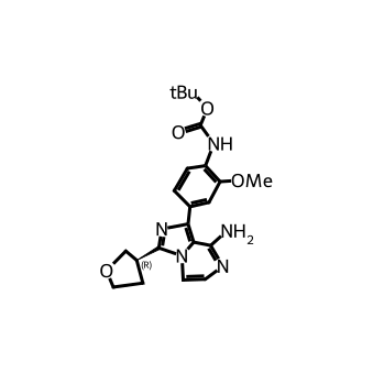 COc1cc(-c2nc([C@H]3CCOC3)n3ccnc(N)c23)ccc1NC(=O)OC(C)(C)C